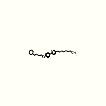 CCCCCCCCc1ccc(-c2ccc(OCCCCC3CCCCC3)cc2)nc1